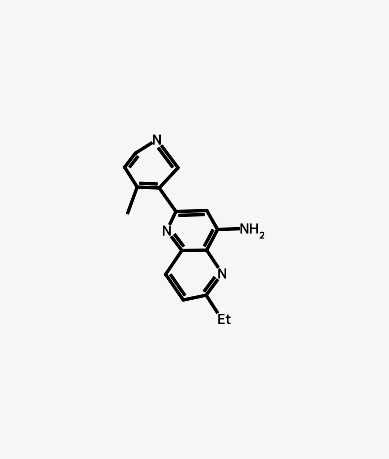 [CH2]Cc1ccc2nc(-c3cnccc3C)cc(N)c2n1